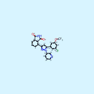 O=C1NC(=O)c2c1cccc2-c1cc(-c2cc(F)cc(OC(F)(F)F)c2)n(-c2cccnc2)n1